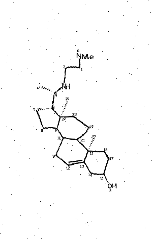 CNCCN[C@@H](C)[C@H]1CCC2C3CC=C4CC(O)CC[C@]4(C)C3CC[C@@]21C